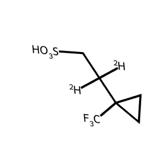 [2H]C([2H])(CS(=O)(=O)O)C1(C(F)(F)F)CC1